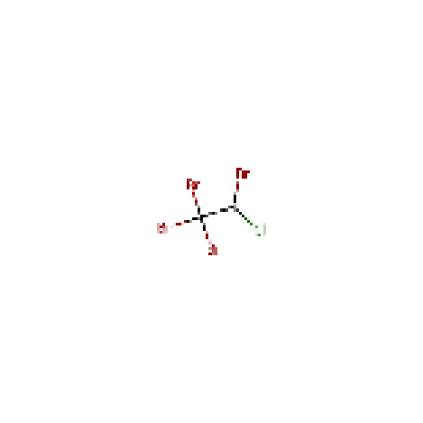 ClC(Br)C(Br)(Br)Br